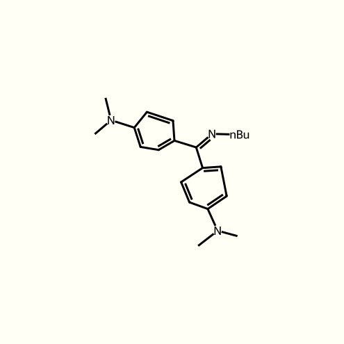 CCCCN=C(c1ccc(N(C)C)cc1)c1ccc(N(C)C)cc1